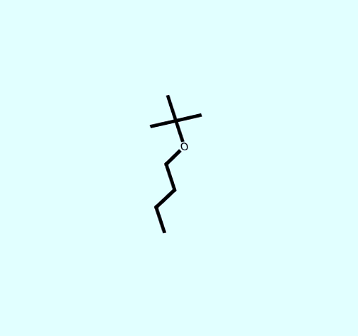 CCCCOC(C)(C)C